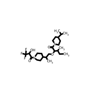 CCC(C)C(OCC(C)C1CCN(C(=O)C(O)C(F)(F)F)CC1)C(=O)N1CCC(C(C)C)CC1